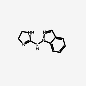 c1ccc2c(c1)cnn2NC1=NCCN1